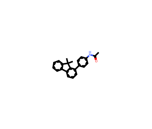 CC(=O)Nc1ccc(-c2cccc3c2C(C)(C)c2ccccc2-3)cc1